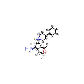 CC1=C(C)C2=C(N)[C@@](C)(CN3CCC(c4ccccc4)CC3)CC2=C(C)O1